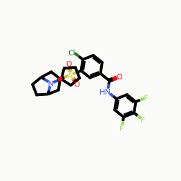 O=C(Nc1cc(F)c(F)c(F)c1)c1ccc(Cl)c(S(=O)(=O)C2CC3CCC(C2)N3C2CCCC2)c1